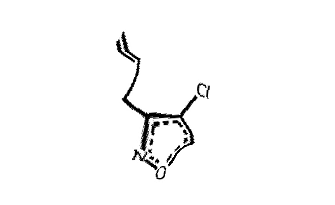 C=CCc1nocc1Cl